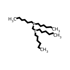 CCCCCCP(CCCCCC)CP(CCCCCC)CCCCCC